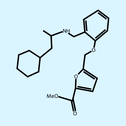 COC(=O)c1ccc(COc2ccccc2CNC(C)CC2CCCCC2)o1